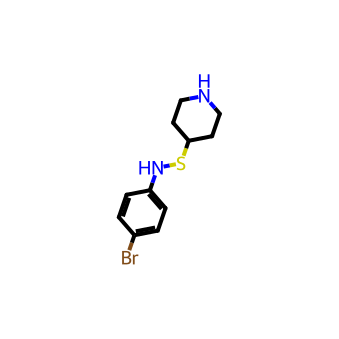 Brc1ccc(NSC2CCNCC2)cc1